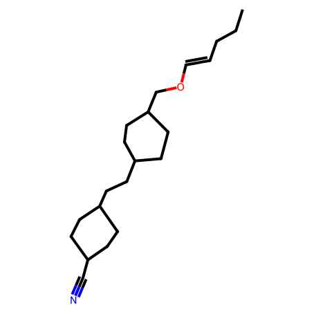 CCCC=COCC1CCC(CCC2CCC(C#N)CC2)CC1